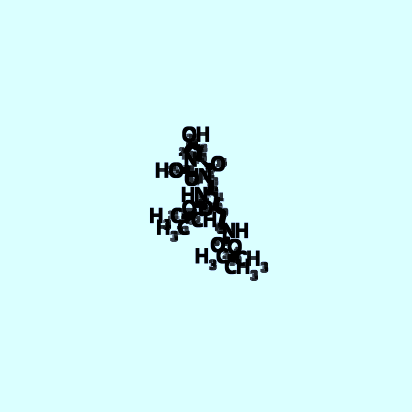 CC(C)(C)OC(=O)NCCCC[C@@H](CNC(=O)[C@@H]1C[C@@H](O)CN1C(=O)O)NC(=O)OC(C)(C)C